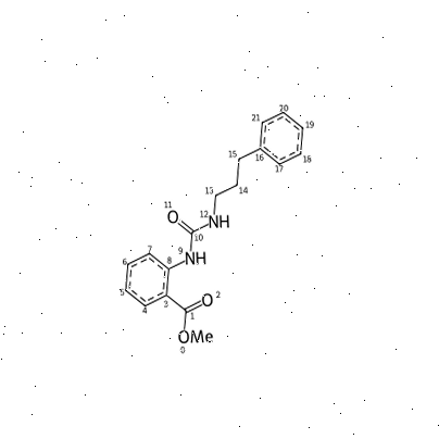 COC(=O)c1ccccc1NC(=O)NCCCc1ccccc1